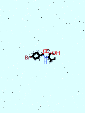 CC(C)C(NC(=O)c1ccc(Br)cc1)C(=O)O